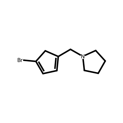 BrC1=CC=C(CN2CCCC2)C1